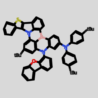 CC(C)(C)c1ccc(N(c2ccc(C(C)(C)C)cc2)c2ccc3c(c2)N(c2cccc4c2oc2ccccc24)c2cc(C(C)(C)C)cc4c2B3c2cccc3c5sc6ccccc6c5n-4c23)cc1